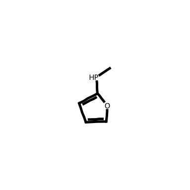 CPc1ccco1